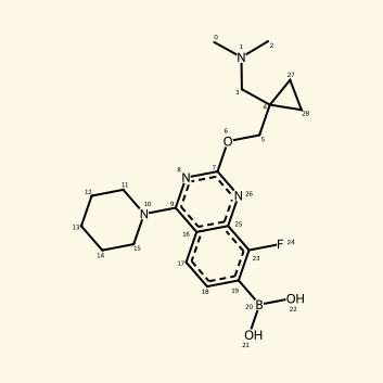 CN(C)CC1(COc2nc(N3CCCCC3)c3ccc(B(O)O)c(F)c3n2)CC1